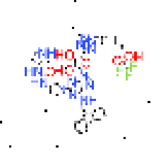 CCn1nnc([C@H]2O[C@@H](n3cnc4c(NCC5c6ccccc6-c6ccccc65)nc(N5CC[C@@H](NC(=O)N[C@@H]6CCNC6)C5)nc43)[C@H](O)[C@@H]2O)n1.O=C(O)C(F)(F)F